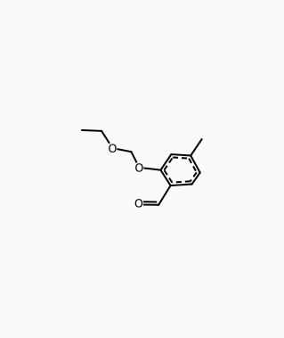 CCOCOc1cc(C)ccc1C=O